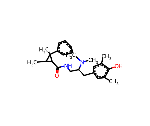 Cc1cc(C[C@@H](CNC(=O)C2C(C)[C@]2(C)c2ccccc2)N(C)C)cc(C)c1O